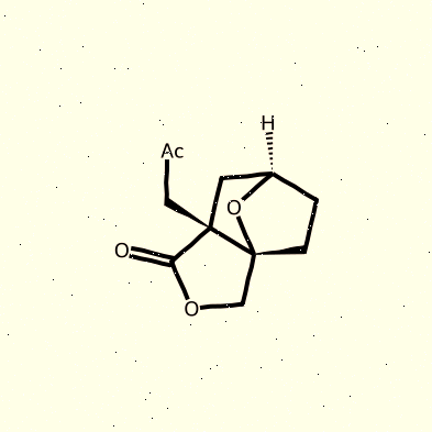 CC(=O)C[C@@]12C[C@H]3CC[C@]1(COC2=O)O3